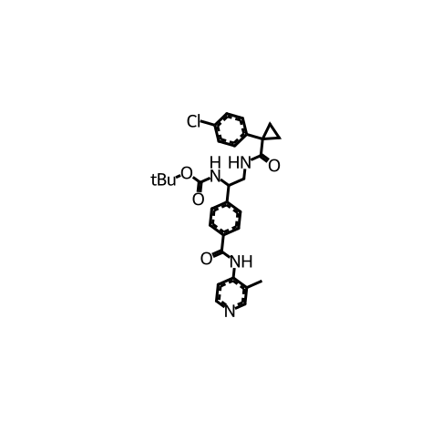 Cc1cnccc1NC(=O)c1ccc(C(CNC(=O)C2(c3ccc(Cl)cc3)CC2)NC(=O)OC(C)(C)C)cc1